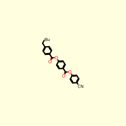 CCC(C)Cc1ccc(C(=O)Oc2ccc(C(=O)Oc3ccc(C#N)cc3)cc2)cc1